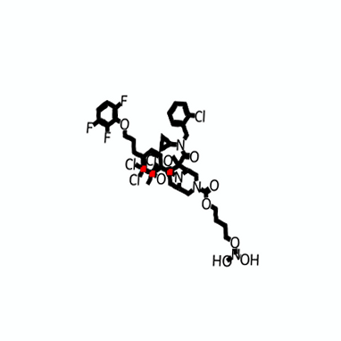 CC1(C(=O)N(Cc2ccccc2Cl)C2CC2)C(c2ccc(CCCOc3c(F)ccc(F)c3F)cc2)CC2CN(C(=O)OCCCCON(O)O)CC1N2C(=O)OC(C)(C)C(Cl)(Cl)Cl